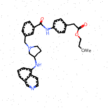 COCCOC(=O)Cc1ccc(NC(=O)c2cccc(CN3CCC(Nc4cccc5cnccc45)C3)c2)cc1